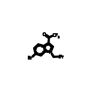 CC(C)Cn1cc(C(=O)C(F)(F)F)c2ccc(Br)cc21